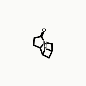 O=C1CCC2C3CC(CN12)N3